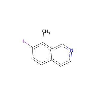 Cc1c(I)ccc2ccncc12